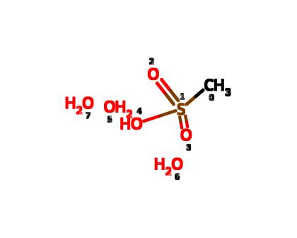 CS(=O)(=O)O.O.O.O